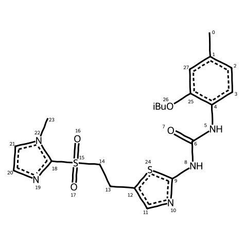 Cc1ccc(NC(=O)Nc2ncc(CCS(=O)(=O)c3nccn3C)s2)c(OCC(C)C)c1